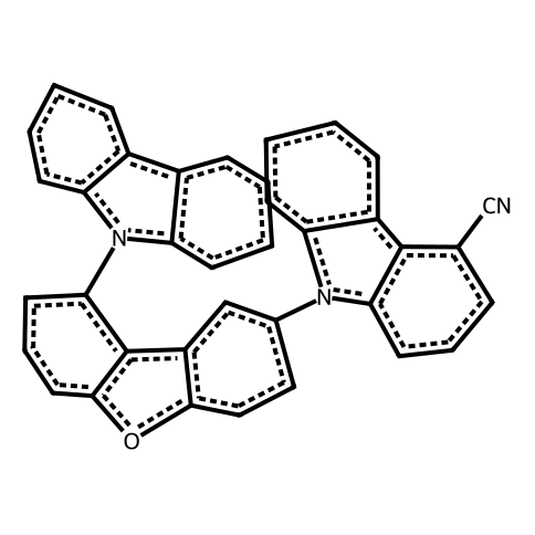 N#Cc1cccc2c1c1ccccc1n2-c1ccc2oc3cccc(-n4c5ccccc5c5ccccc54)c3c2c1